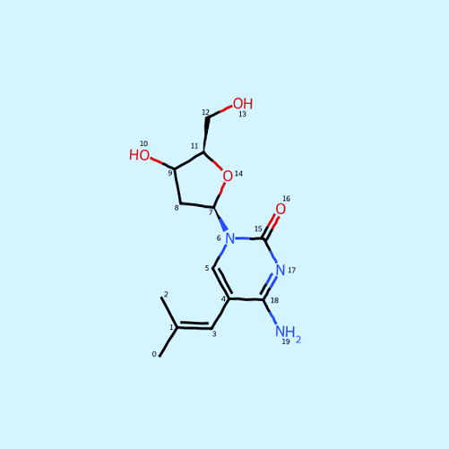 CC(C)=Cc1cn([C@H]2CC(O)[C@@H](CO)O2)c(=O)nc1N